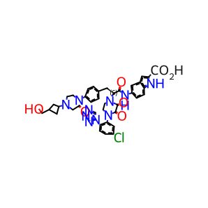 O=C(O)c1cc2cc(NC(=O)[C@H](Cc3ccc(N4CCN(C5CC(CO)C5)CC4=O)cc3)N3CCN(c4cc(Cl)ccc4-n4cnnn4)C(=O)C3=O)ccc2[nH]1